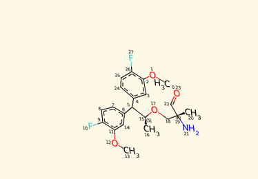 COc1cc(C(c2ccc(F)c(OC)c2)[C@H](C)OC[C@@](C)(N)C=O)ccc1F